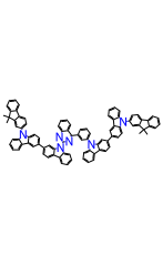 CC1(C)c2ccccc2-c2ccc(-n3c4ccccc4c4cc(-c5ccc6c7ccccc7n(-c7cccc(-c8nc(-n9c%10ccccc%10c%10ccc(-c%11ccc%12c(c%11)c%11ccccc%11n%12-c%11ccc%12c(c%11)C(C)(C)c%11ccccc%11-%12)cc%109)nc9ccccc89)c7)c6c5)ccc43)cc21